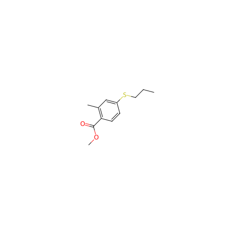 CCCSc1ccc(C(=O)OC)c(C)c1